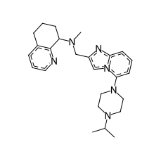 CC(C)N1CCN(c2cccc3nc(CN(C)C4CCCc5cccnc54)cn23)CC1